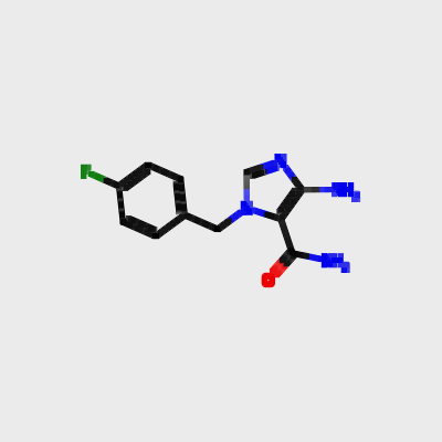 NC(=O)c1c(N)ncn1Cc1ccc(F)cc1